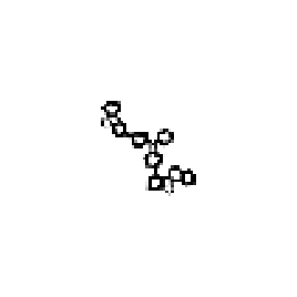 c1ccc(N(c2ccc(-c3ccc4oc5ccccc5c4c3)cc2)c2ccc(-c3cccc4oc5c6ccccc6ccc5c34)cc2)cc1